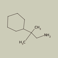 CC(C)(CN)C1CCCCC1